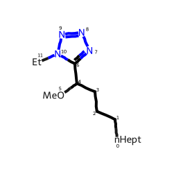 CCCCCCCCCCC(OC)c1nnnn1CC